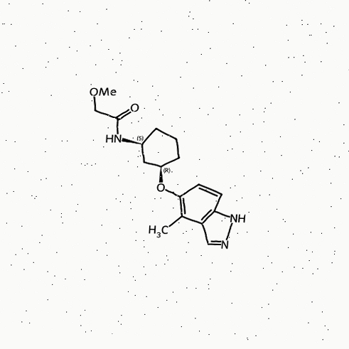 COCC(=O)N[C@H]1CCC[C@@H](Oc2ccc3[nH]ncc3c2C)C1